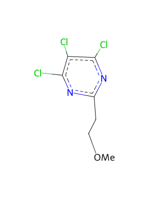 COCCc1nc(Cl)c(Cl)c(Cl)n1